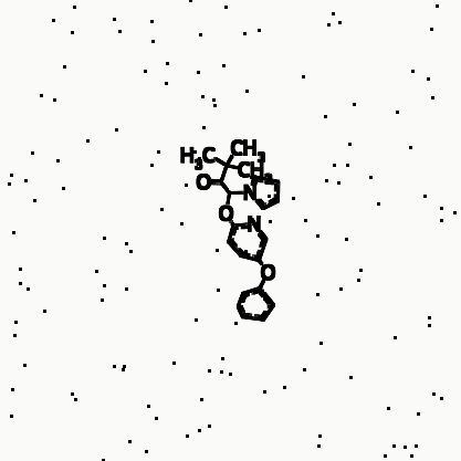 CC(C)(C)C(=O)C(Oc1ccc(Oc2ccccc2)cn1)n1cccc1